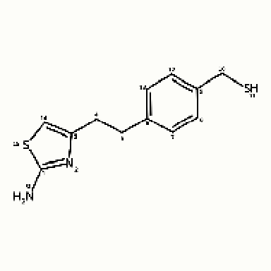 Nc1nc(CCc2ccc(CS)cc2)cs1